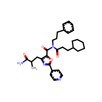 CC(Cc1nc(-c2ccncc2)oc1C(=O)N(CCCc1ccccc1)C(=O)[CH]CC1CCCCC1)C(N)=O